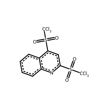 O=S(=O)(c1cc(S(=O)(=O)C(Cl)(Cl)Cl)c2ccccc2n1)C(Cl)(Cl)Cl